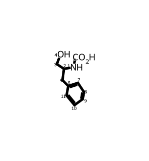 O=C(O)NC(CO)Cc1ccccc1